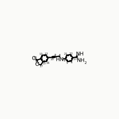 N=C(N)c1ccc(NCC#Cc2ccc3c(c2)COC3=O)cc1